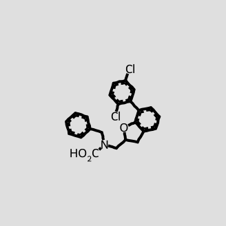 O=C(O)N(Cc1ccccc1)CC1Cc2cccc(-c3cc(Cl)ccc3Cl)c2O1